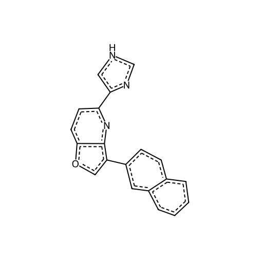 c1ccc2cc(-c3coc4ccc(-c5c[nH]cn5)nc34)ccc2c1